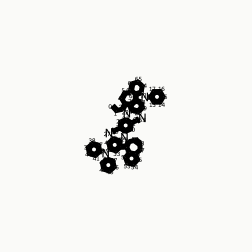 C=Cc1c(/C=C\C)c2c3c4c(n(-c5ccccc5)c3ccc2n1-c1cc(C#N)c(-n2c3c(c5cc(N(c6ccccc6)c6ccccc6)ccc52)-c2ccccc2CC#C3)cc1C#N)CCC=C4